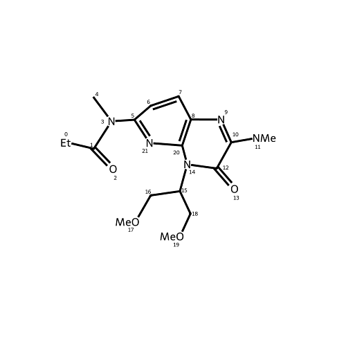 CCC(=O)N(C)c1ccc2nc(NC)c(=O)n(C(COC)COC)c2n1